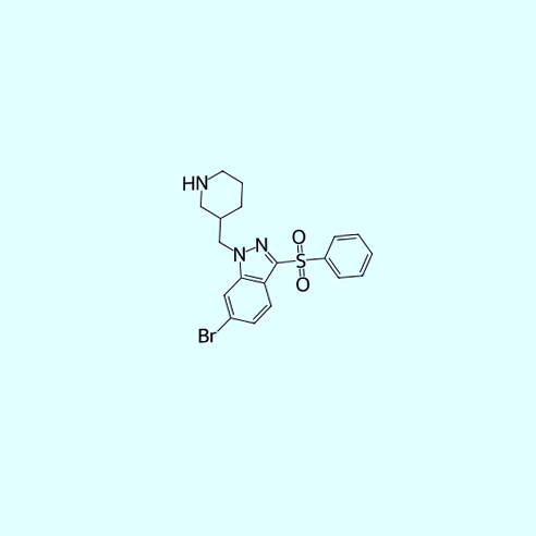 O=S(=O)(c1ccccc1)c1nn(CC2CCCNC2)c2cc(Br)ccc12